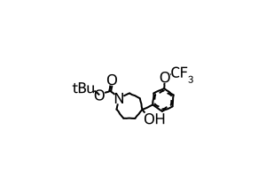 CC(C)(C)OC(=O)N1CCCC(O)(c2cccc(OC(F)(F)F)c2)CC1